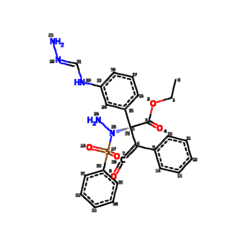 CCOC(=O)[C@@](C(=C=O)c1ccccc1)(c1cccc(NC=NN)c1)N(N)S(=O)(=O)c1ccccc1